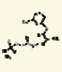 CNS(=O)(=O)OCC(=O)Nc1nc(C)c(Cc2cccc(C)c2)s1